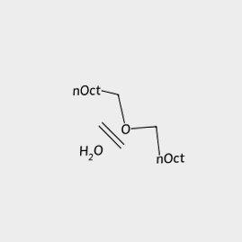 C=C.CCCCCCCCCOCCCCCCCCC.O